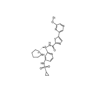 CCOc1cncc(-c2cnc(C(=O)N[C@H](C[C@H]3CCCCN3)c3cc(NS(=O)(=O)C4CC4)ccn3)s2)n1